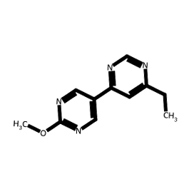 CCc1cc(-c2cnc(OC)nc2)ncn1